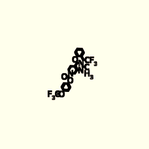 Cc1nc2c(c(=O)n1C(c1ccccc1)C(F)(F)F)CCN(C(=O)Oc1ccc(OC(F)(F)F)cc1)C2